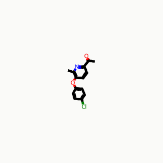 CC(=O)c1ccc(Oc2ccc(Cl)cc2)c(C)n1